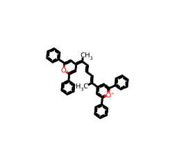 CC(/C=C/C=C(\C)c1cc(-c2ccccc2)[o+]c(-c2ccccc2)c1)=C1C=C(c2ccccc2)OC(c2ccccc2)=C1